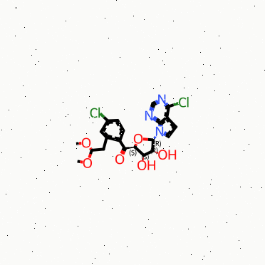 COC(Cc1cc(Cl)ccc1C(=O)[C@H]1O[C@@H](n2ccc3c(Cl)ncnc32)[C@H](O)[C@@H]1O)OC